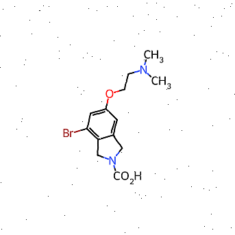 CN(C)CCOc1cc(Br)c2c(c1)CN(C(=O)O)C2